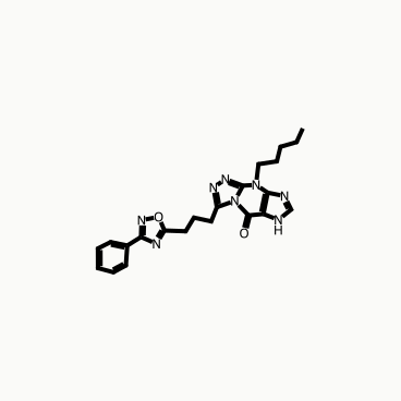 CCCCCn1c2nc[nH]c2c(=O)n2c(CCCc3nc(-c4ccccc4)no3)nnc12